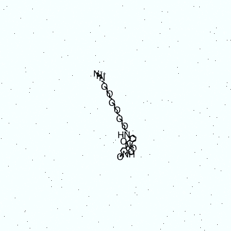 [N-]=[N+]=NCCOCCOCCOCCOCCOCCOCCNc1cccc2c1C(=O)N(C1CCC(=O)NC1=O)C2=O